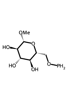 CO[C@@H]1O[C@H](COP)[C@@H](O)[C@H](O)[C@H]1O